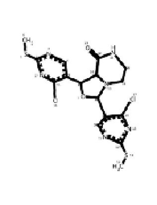 CSc1ncc(C2OC(c3cnc(SC)nc3Cl)N3CCNC(=O)C23)c(Cl)n1